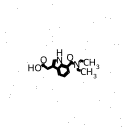 CCN(CC)C(=O)c1cccc2c(CC(=O)O)c[nH]c12